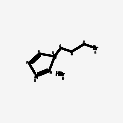 Br.BrCCCn1ccnc1